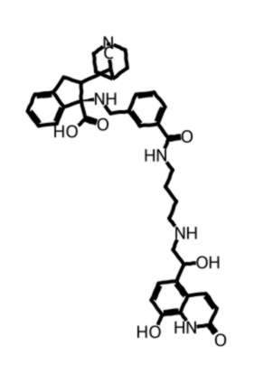 O=C(NCCCCNCC(O)c1ccc(O)c2[nH]c(=O)ccc12)c1cccc(CN[C@@]2(C(=O)O)c3ccccc3CC2C2CN3CCC2CC3)c1